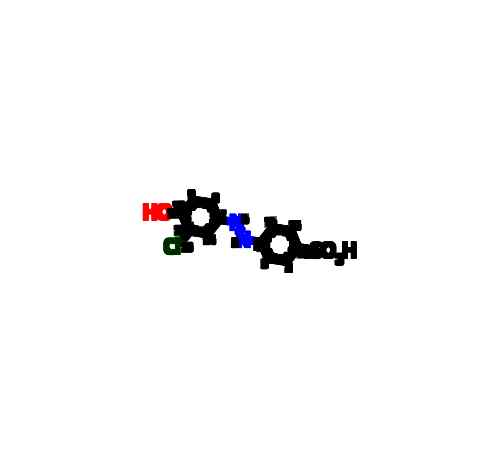 O=S(=O)(O)c1ccc(/N=N/c2ccc(O)c(Cl)c2)cc1